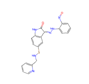 O=Nc1ccccc1N/N=C1\C(=O)Nc2ccc(SNCc3ccccn3)cc21